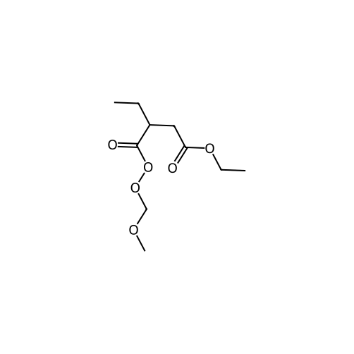 CCOC(=O)CC(CC)C(=O)OOCOC